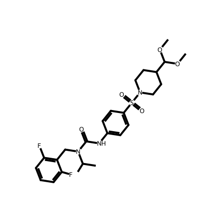 COC(OC)C1CCN(S(=O)(=O)c2ccc(NC(=O)N(Cc3c(F)cccc3F)C(C)C)cc2)CC1